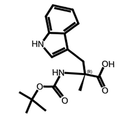 CC(C)(C)OC(=O)N[C@](C)(Cc1c[nH]c2ccccc12)C(=O)O